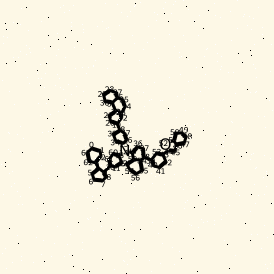 c1ccc(-c2ccccc2-c2ccc(N(c3ccc(-c4ccc5c(ccc6ccccc65)c4)cc3)c3ccc(-c4cccc(-c5cc6ccccc6o5)c4)c4ccccc34)cc2)cc1